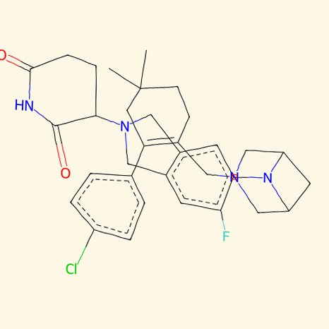 CC1(C)CCC(CN2CC3CC(C2)N3c2cc3c(cc2F)CN(C2CCC(=O)NC2=O)C3)=C(c2ccc(Cl)cc2)C1